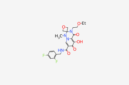 CCOCCN1C(=O)c2c(O)c(=O)c(C(=O)NCc3ccc(F)cc3F)cn2N(C)C12COC2